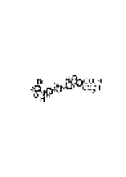 C[C@H]1CN([C@H]2CCN3c4cc(C(=O)O)c(C(=O)O)cc4OC[C@H]3C2)CCN1c1ccc(Nc2cc(Br)cn(C)c2=O)nc1